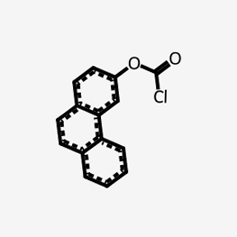 O=C(Cl)Oc1ccc2ccc3ccccc3c2c1